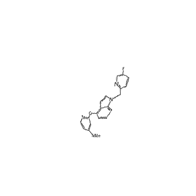 CNc1ccnc(Oc2cccc3c2ccn3Cc2ccc(F)cn2)c1